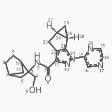 O=C(NC1(CO)CC2CCC1C2)c1nn(-c2cnccn2)c2c1C[C@@H]1C[C@H]21